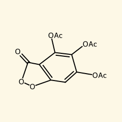 CC(=O)Oc1cc2ooc(=O)c2c(OC(C)=O)c1OC(C)=O